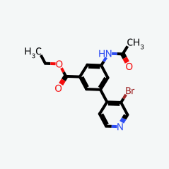 CCOC(=O)c1cc(NC(C)=O)cc(-c2ccncc2Br)c1